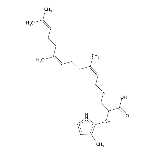 CC(C)=CCCC(C)=CCCC(C)=CCSCC(Nc1[nH]ccc1C)C(=O)O